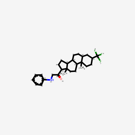 CC12CCC(C(F)(F)F)CC1CCC1C2CCC2(C)C(C(=O)CNc3ccccc3)CCC12